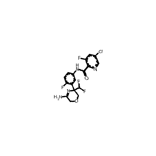 NC1=NC(c2cc(NC(=O)c3ncc(Cl)cc3F)ccc2F)(C(F)F)COC1